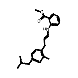 COC(=O)c1ccccc1NC=CCc1ccc(CC(C)C)cc1C